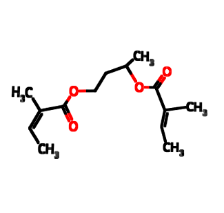 CC=C(C)C(=O)OCCC(C)OC(=O)C(C)=CC